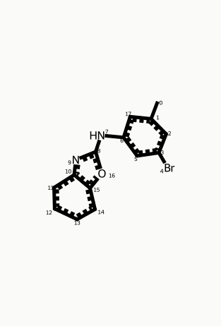 Cc1cc(Br)cc(Nc2nc3ccccc3o2)c1